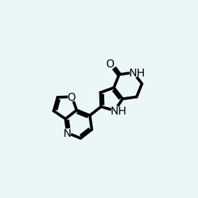 O=C1NCCc2[nH]c(-c3ccnc4ccoc34)cc21